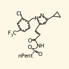 CCCCCS(=O)(=O)NC(=O)C=Cc1cc(C2CC2)nn1Cc1ccc(C(F)(F)F)cc1Cl